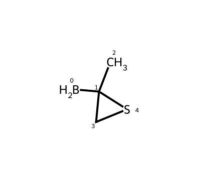 BC1(C)CS1